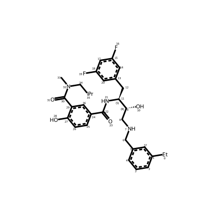 CCc1cccc(CNC[C@@H](O)[C@H](Cc2cc(F)cc(F)c2)NC(=O)c2ccc(O)c(C(=O)N(C)CC(C)C)c2)c1